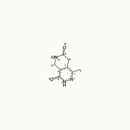 Cc1n[nH]c(=O)c2c1CC(=O)NC2